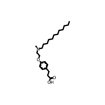 CCCCCCCCCCCCN(C)CCOc1ccc(CCC(=O)O)cc1